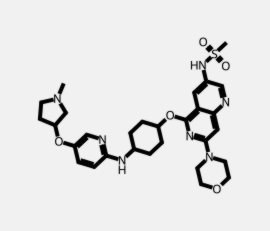 CN1CCC(Oc2ccc(NC3CCC(Oc4nc(N5CCOCC5)cc5ncc(NS(C)(=O)=O)cc45)CC3)nc2)C1